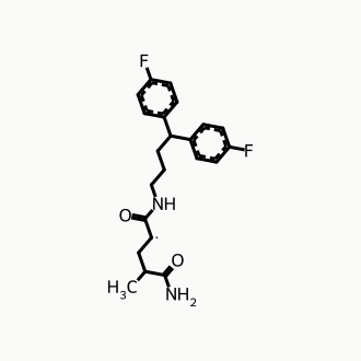 CC(C[CH]C(=O)NCCCC(c1ccc(F)cc1)c1ccc(F)cc1)C(N)=O